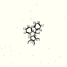 CC1=C(C)C(C)=C(C(C)(c2ccccc2)c2ccccc2)C1